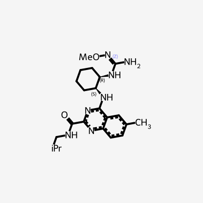 CO/N=C(/N)N[C@@H]1CCCC[C@@H]1Nc1nc(C(=O)NCC(C)C)nc2ccc(C)cc12